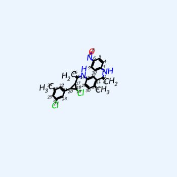 C=C(Nc1ccc(N=O)cc1)c1cc(NC(=C)C2C(Cl)C2c2cc(C)cc(Cl)c2)ccc1C